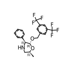 C[C@H]1CN[C@@H](c2ccccc2)[C@H](OCc2cc(C(F)(F)F)cc(C(F)(F)F)c2)O1